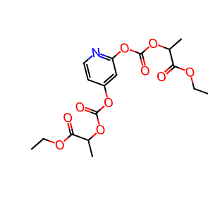 CCOC(=O)C(C)OC(=O)Oc1ccnc(OC(=O)OC(C)C(=O)OCC)c1